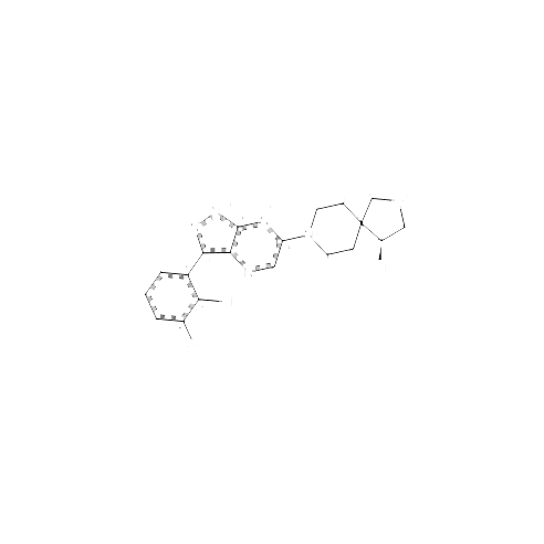 C[C@@H]1COCC12CCN(c1cnc3c(-c4cccc(F)c4Cl)n[nH]c3n1)CC2